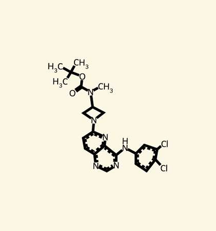 CN(C(=O)OC(C)(C)C)C1CN(c2ccc3ncnc(Nc4ccc(Cl)c(Cl)c4)c3n2)C1